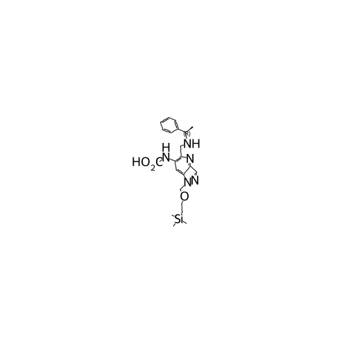 C[C@@H](NCc1nc2cnn(COCC[Si](C)(C)C)c2cc1NC(=O)O)c1ccccc1